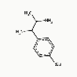 CC(N)C(N)c1ccc(C(C)(C)C)cc1